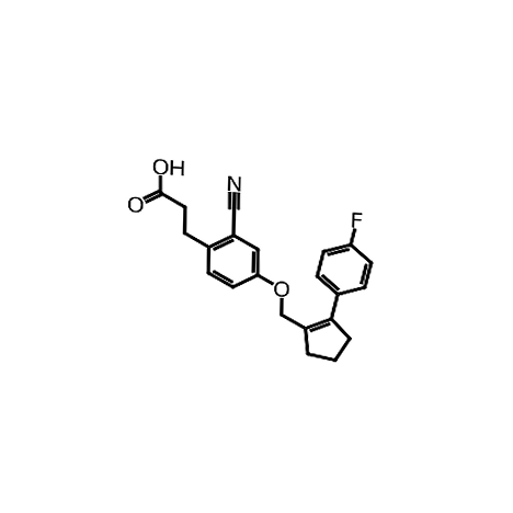 N#Cc1cc(OCC2=C(c3ccc(F)cc3)CCC2)ccc1CCC(=O)O